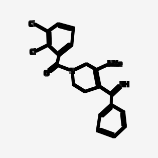 CNC1=C(C(=N)c2ccccc2)CCN(C(=O)c2cccc(Cl)c2Cl)C1